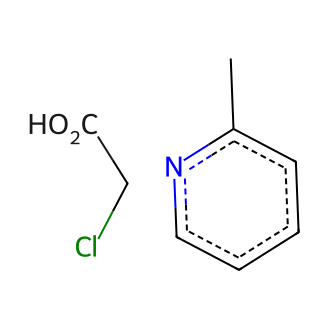 Cc1ccccn1.O=C(O)CCl